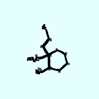 O=C(O)C1(CCBr)CCCCC1Br